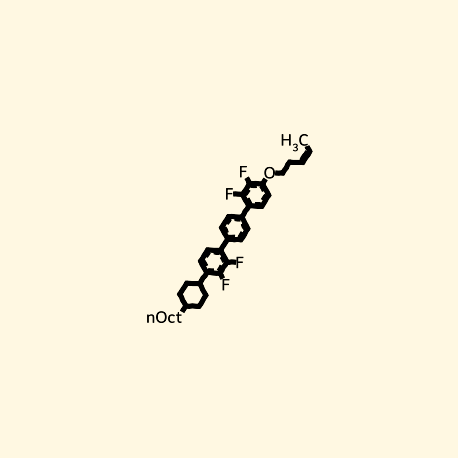 C/C=C\CCOc1ccc(-c2ccc(-c3ccc(C4CCC(CCCCCCCC)CC4)c(F)c3F)cc2)c(F)c1F